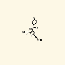 C=C1CCC(C(=O)Nc2cc(C#CC(C)(C)C)sc2C(=O)O)CC1